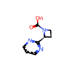 O=C(O)N1CC[C@H]1c1ncccn1